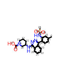 Cc1ccc(-c2nnc(N[C@@H]3CCCN(C(=O)O)C3)c3ccccc23)c(NS(C)(=O)=O)c1